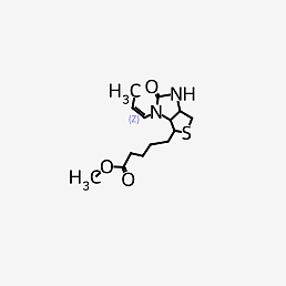 C/C=C\N1C(=O)NC2CSC(CCCCC(=O)OC)C21